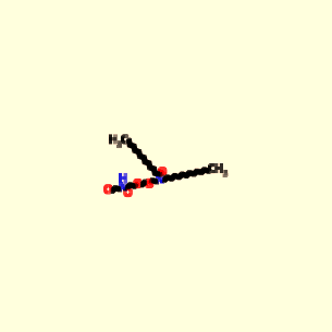 CCCCCCCCCCCCCCN(CCOCCOCCC(=O)NCCC=O)C(=O)CCCCCCCCCCCCC